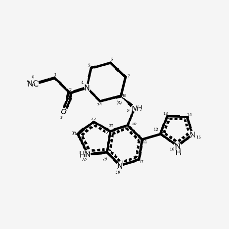 N#CCC(=O)N1CCC[C@@H](Nc2c(-c3ccn[nH]3)cnc3[nH]ccc23)C1